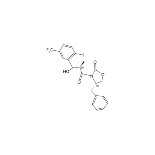 C[C@@H](C(=O)N1C(=O)OC[C@@H]1Cc1ccccc1)C(O)c1cc(C(F)(F)F)ccc1I